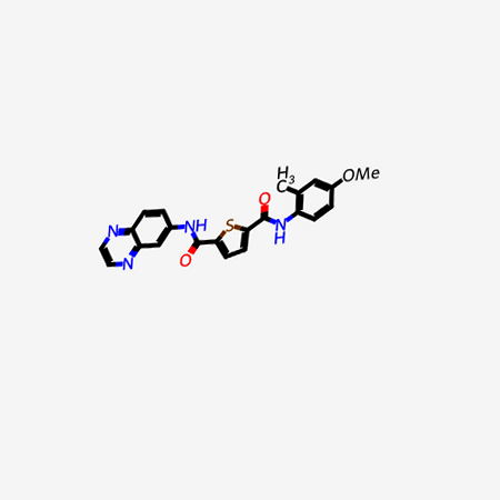 COc1ccc(NC(=O)c2ccc(C(=O)Nc3ccc4nccnc4c3)s2)c(C)c1